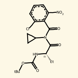 CC[C@H](NC(=O)OC(C)(C)C)C(=O)N(C(=O)c1c(Cl)cccc1[N+](=O)[O-])C1CC1